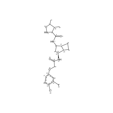 CC1ONC(C(=O)NC2C[C@H](NC(=O)COc3ccc(Cl)c(F)c3)C3CCC23)C1C